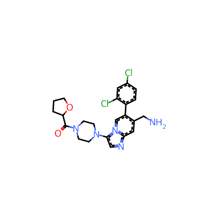 NCc1cc2ncc(N3CCN(C(=O)C4CCCO4)CC3)n2cc1-c1ccc(Cl)cc1Cl